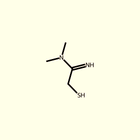 CN(C)C(=N)CS